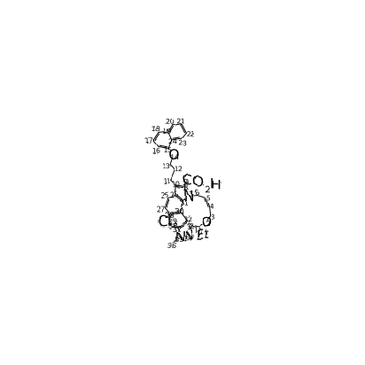 CCC1OC/C=C\Cn2c(C(=O)O)c(CCCOc3cccc4ccccc34)c3ccc(Cl)c(c32)-c2c1nn(C)c2C